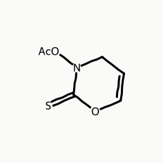 CC(=O)ON1CC=COC1=S